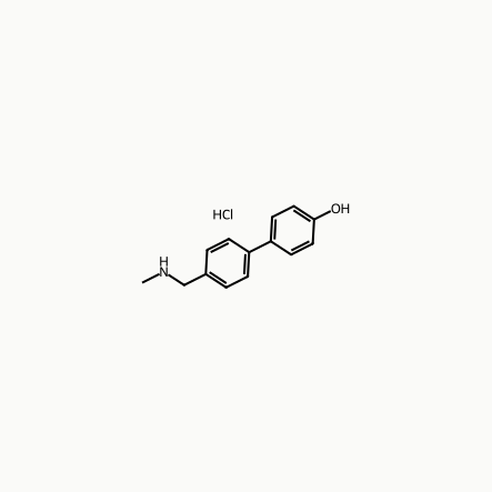 CNCc1ccc(-c2ccc(O)cc2)cc1.Cl